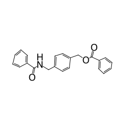 O=C(NCc1ccc(COC(=O)c2ccccc2)cc1)c1ccccc1